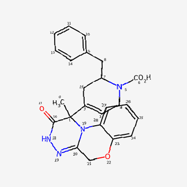 CC1(C2=CCN(C(=O)O)C(Cc3ccccc3)C2)C(=O)NN=C2COc3ccccc3N21